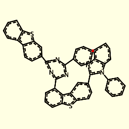 c1ccc(-c2nc(-c3ccc4c(c3)sc3ccccc34)nc(-c3cccc4sc5ccc(-c6nc7ccccc7n6-c6ccccc6)cc5c34)n2)cc1